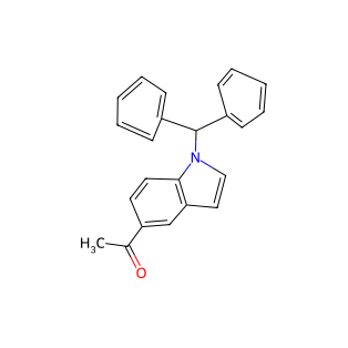 CC(=O)c1ccc2c(ccn2C(c2ccccc2)c2ccccc2)c1